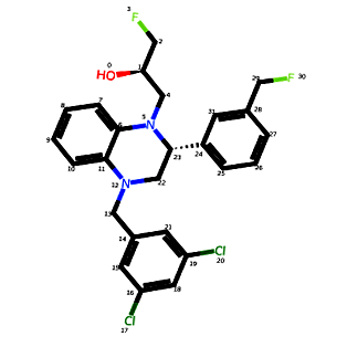 O[C@@H](CF)CN1c2ccccc2N(Cc2cc(Cl)cc(Cl)c2)C[C@H]1c1cccc(CF)c1